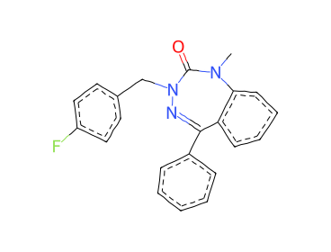 CN1C(=O)N(Cc2ccc(F)cc2)N=C(c2ccccc2)c2ccccc21